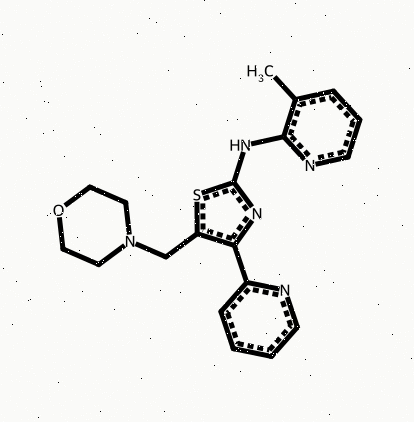 Cc1cccnc1Nc1nc(-c2ccccn2)c(CN2CCOCC2)s1